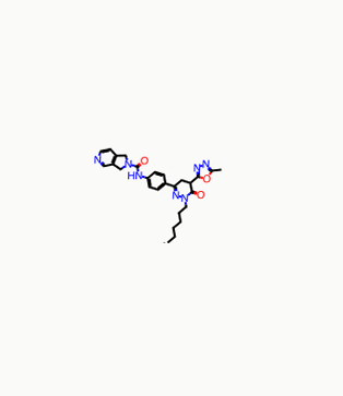 [CH2]CCCCCN1N=C(c2ccc(NC(=O)N3Cc4ccncc4C3)cc2)CC(c2nnc(C)o2)C1=O